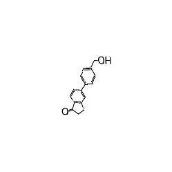 O=C1CCc2cc(-c3ccc(CO)cc3)ccc21